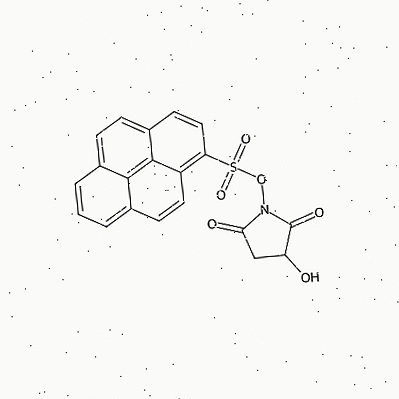 O=C1CC(O)C(=O)N1OS(=O)(=O)c1ccc2ccc3cccc4ccc1c2c34